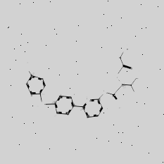 CC(O)[C@H](NC(=O)CO)C(=O)Nc1cccc(-c2ccc(Oc3ccc(F)cc3)cc2)n1